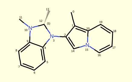 Cc1c(N2c3ccccc3N(C)[C@@H]2C)cn2ccccc12